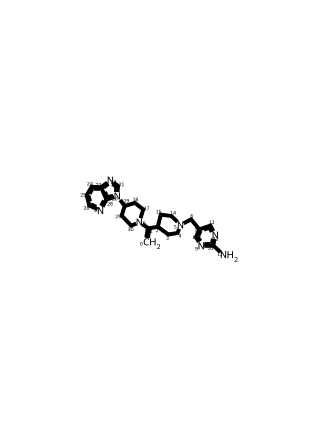 C=C(C1CCN(Cc2cnc(N)nc2)CC1)N1CCC(n2cnc3cccnc32)CC1